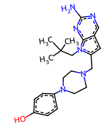 CC(C)(C)Cn1c(CN2CCN(c3ccc(O)cc3)CC2)cc2cnc(N)nc21